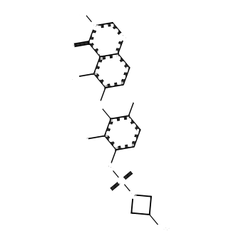 COC1CN(S(=O)(=O)Nc2ccc(F)c(Oc3ccc4ncn(C)c(=O)c4c3C)c2Cl)C1